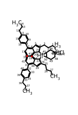 CCCCC1=Cc2c(-c3ccc(CCC)cc3)cccc2[CH]1[Hf]1([CH]2C(CCCC)=Cc3c(-c4ccc(CCC)cc4)cccc32)[CH]2CCCC[CH]21.Cl.Cl